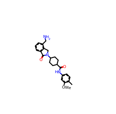 COc1cc(NC(=O)C2CCC(N3Cc4c(CN)cccc4C3=O)CC2)ccc1C